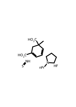 CC1(C(=O)O)C=CC=C(C(=O)O)C1.CCCN1CCCC1.F.N=S